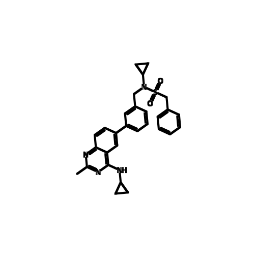 Cc1nc(NC2CC2)c2cc(-c3cccc(CN(C4CC4)S(=O)(=O)Cc4ccccc4)c3)ccc2n1